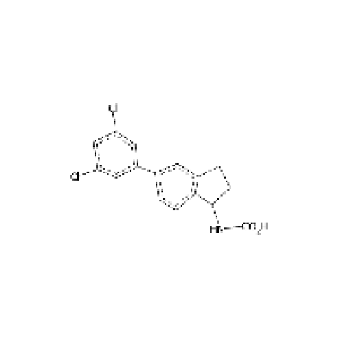 O=C(O)NC1CCc2cc(-c3cc(Cl)cc(Cl)c3)ccc21